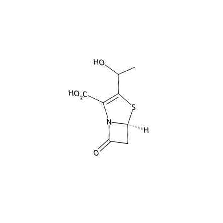 CC(O)C1=C(C(=O)O)N2C(=O)C[C@@H]2S1